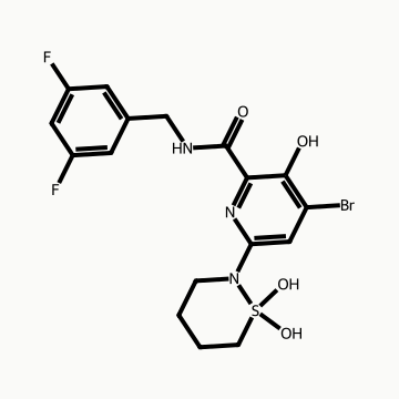 O=C(NCc1cc(F)cc(F)c1)c1nc(N2CCCCS2(O)O)cc(Br)c1O